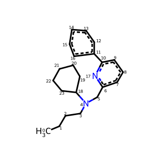 CCCCN(Cc1cccc(-c2ccccc2)n1)C1CCCCC1